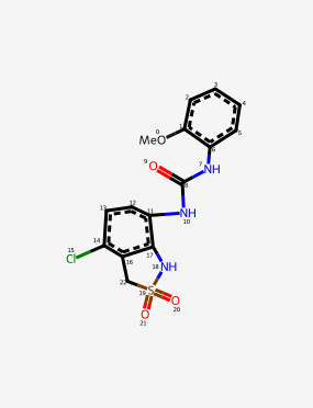 COc1ccccc1NC(=O)Nc1ccc(Cl)c2c1NS(=O)(=O)C2